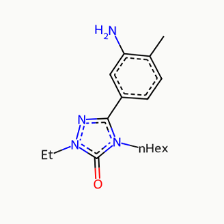 CCCCCCn1c(-c2ccc(C)c(N)c2)nn(CC)c1=O